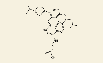 CC(C)CC(Oc1ccc(-c2ccc(C(C)C)cc2)c(C=NO)c1)c1ccc(C(=O)NCCC(=O)O)cc1